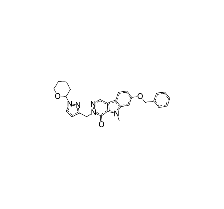 Cn1c2cc(OCc3ccccc3)ccc2c2cnn(Cc3ccn(C4CCCCO4)n3)c(=O)c21